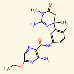 CN1C(=O)CC(C)(c2cc(NC(=O)c3ncc(OCC(F)(F)F)nc3N)ccc2F)N=C1N